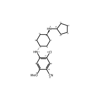 COc1cc(N[C@H]2CC[C@H](NC3CCCC3)CC2)c(Cl)cc1C#N